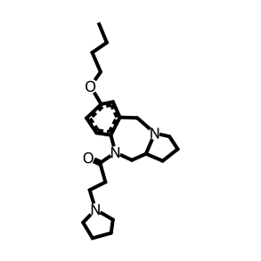 CCCCOc1ccc2c(c1)CN1CCCC1CN2C(=O)CCN1CCCC1